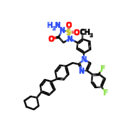 Cc1ccc(-n2cc(-c3ccc(F)cc3F)nc2Cc2ccc(-c3ccc(C4CCCCC4)cc3)cc2)cc1N1CC(=O)N(N)S1(=O)=O